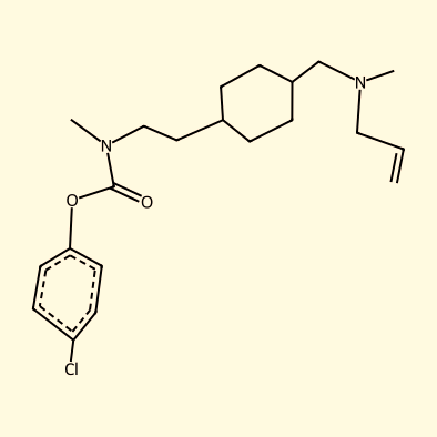 C=CCN(C)CC1CCC(CCN(C)C(=O)Oc2ccc(Cl)cc2)CC1